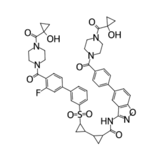 O=C(Nc1noc2ccc(-c3ccc(C(=O)N4CCN(C(=O)C5(O)CC5)CC4)cc3)cc12)C1CC1C1CC1S(=O)(=O)c1cccc(-c2ccc(C(=O)N3CCN(C(=O)C4(O)CC4)CC3)c(F)c2)c1